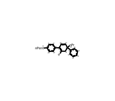 CCCCCc1ccc(C2=C(F)CC(CCC)(c3ccccc3)C=C2)cc1